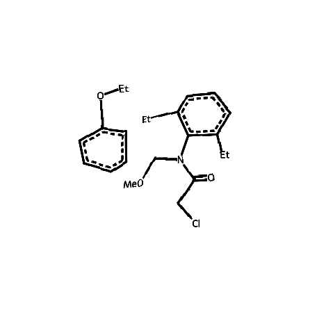 CCOc1ccccc1.CCc1cccc(CC)c1N(COC)C(=O)CCl